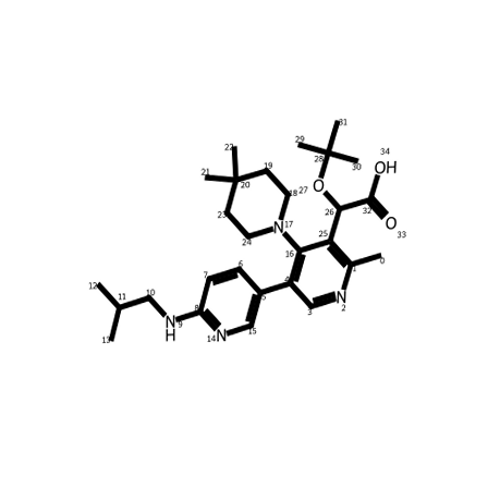 Cc1ncc(-c2ccc(NCC(C)C)nc2)c(N2CCC(C)(C)CC2)c1C(OC(C)(C)C)C(=O)O